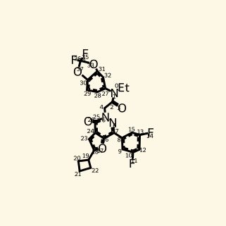 CCN(C(=O)Cn1nc(-c2cc(F)cc(F)c2)c2oc(C3CCC3)cc2c1=O)c1ccc2c(c1)OC(F)(F)O2